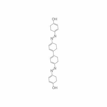 OC1=CC=C(N=NC2=CC=C(C3=CC=C(N=NC4=CC=C(O)CC4)CC3)CC2)CC1